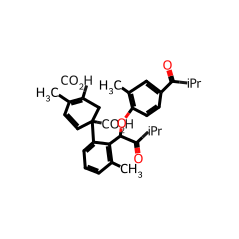 CC1=C(C(=O)O)CC(C(=O)O)(c2cccc(C)c2C(Oc2ccc(C(=O)C(C)C)cc2C)C(=O)C(C)C)C=C1